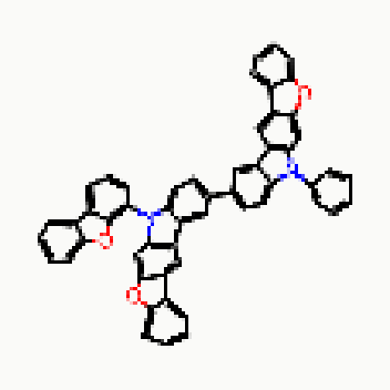 c1ccc(-n2c3ccc(-c4ccc5c(c4)c4cc6c(cc4n5-c4cccc5c4oc4ccccc45)oc4ccccc46)cc3c3cc4c(cc32)oc2ccccc24)cc1